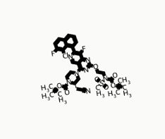 CC(C)(C)OC(=O)N1CCN(c2nc(OCCN(C(=O)OC(C)(C)C)S(C)(=O)=O)nc3c(F)c(-c4cccc5ccc(F)c(Cl)c45)ncc23)C[C@@H]1CC#N